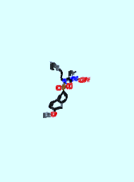 CCOc1ccc2cc(S(=O)(=O)N(CCC(C)C)[C@@H](C(=O)NO)C(C)C)ccc2c1